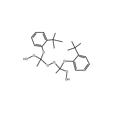 CC(OO)(OOC(C)(OO)Oc1ccccc1C(C)(C)C)Oc1ccccc1C(C)(C)C